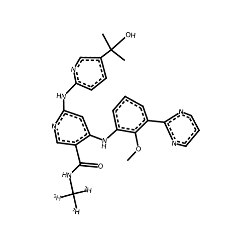 [2H]C([2H])([2H])NC(=O)c1cnc(Nc2ccc(C(C)(C)O)cn2)cc1Nc1cccc(-c2ncccn2)c1OC